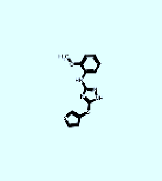 COc1ccccc1Nc1n[nH]c(Sc2ccsc2)n1